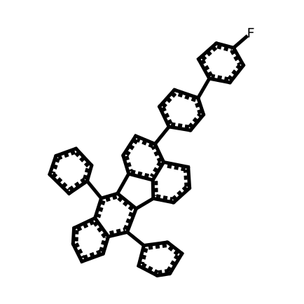 Fc1ccc(-c2ccc(-c3ccc4c5c(cccc35)-c3c-4c(-c4ccccc4)c4ccccc4c3-c3ccccc3)cc2)cc1